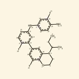 CCC(C)N1CCOc2c(F)cc(-c3nc(Nc4ccc(N)c(F)c4)ncc3F)cc21